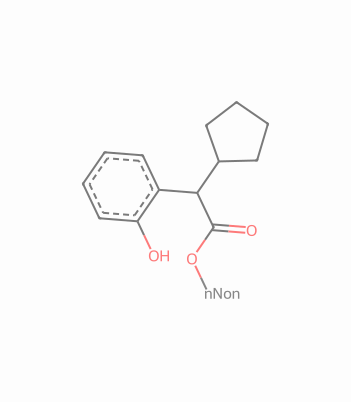 CCCCCCCCCOC(=O)C(c1ccccc1O)C1CCCC1